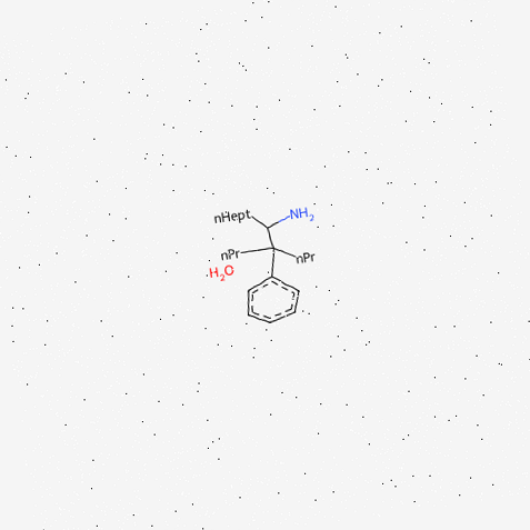 CCCCCCCC(N)C(CCC)(CCC)c1ccccc1.O